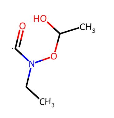 CCN([C]=O)OC(C)O